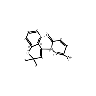 CC1(C)C=C(n2nc(O)ccc2=O)c2ncccc2O1